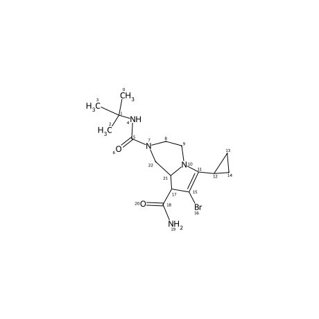 CC(C)(C)NC(=O)N1CCN2C(C3CC3)=C(Br)C(C(N)=O)C2C1